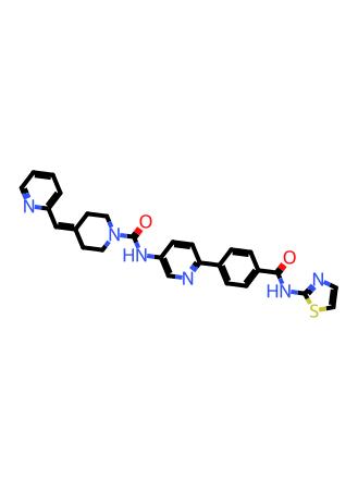 O=C(Nc1nccs1)c1ccc(-c2ccc(NC(=O)N3CCC(=Cc4ccccn4)CC3)cn2)cc1